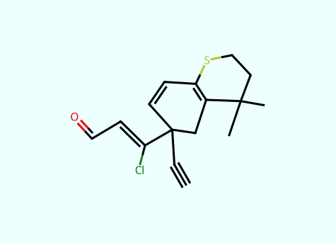 C#CC1(C(Cl)=CC=O)C=CC2=C(C1)C(C)(C)CCS2